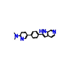 CN(C)c1ccc(-c2ccc(-c3cc4ccncc4[nH]3)cc2)cn1